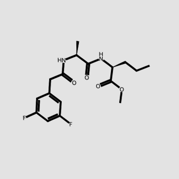 CCC[C@H](NC(=O)[C@H](C)NC(=O)Cc1cc(F)cc(F)c1)C(=O)OC